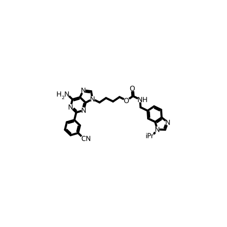 CC(C)n1cnc2ccc(CNC(=O)OCCCCn3cnc4c(N)nc(-c5cccc(C#N)c5)nc43)cc21